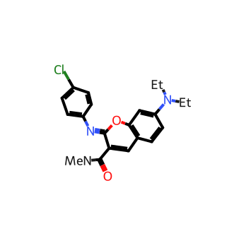 CCN(CC)c1ccc2cc(C(=O)NC)c(=Nc3ccc(Cl)cc3)oc2c1